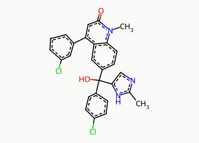 Cc1ncc(C(O)(c2ccc(Cl)cc2)c2ccc3c(c2)c(-c2cccc(Cl)c2)cc(=O)n3C)[nH]1